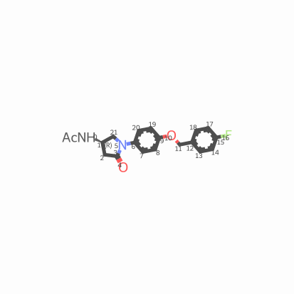 CC(=O)N[C@@H]1CC(=O)N(c2ccc(OCc3ccc(F)cc3)cc2)C1